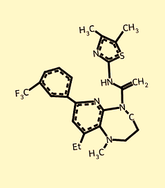 C=C(Nc1nc(C)c(C)s1)N1CCCN(C)c2c(CC)cc(-c3cccc(C(F)(F)F)c3)nc21